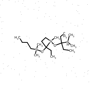 CCCC[Si](C)(C)OC1(CC)CC[Si]1(C)OC(CC)(CC)[SiH](C)C